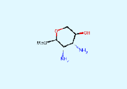 CO[C@H]1OC[C@@H](O)[C@H](N)[C@@H]1N